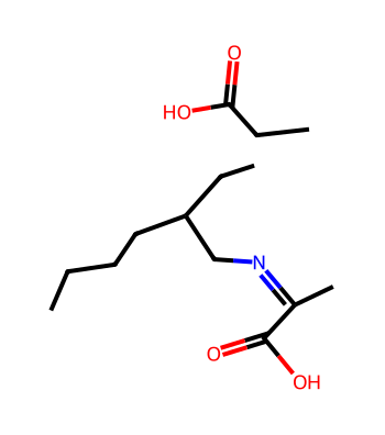 CCC(=O)O.CCCCC(CC)CN=C(C)C(=O)O